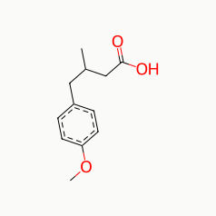 COc1ccc(CC(C)CC(=O)O)cc1